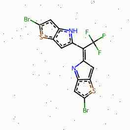 FC(F)(F)/C(=C1\C=c2sc(Br)cc2=N1)c1cc2sc(Br)cc2[nH]1